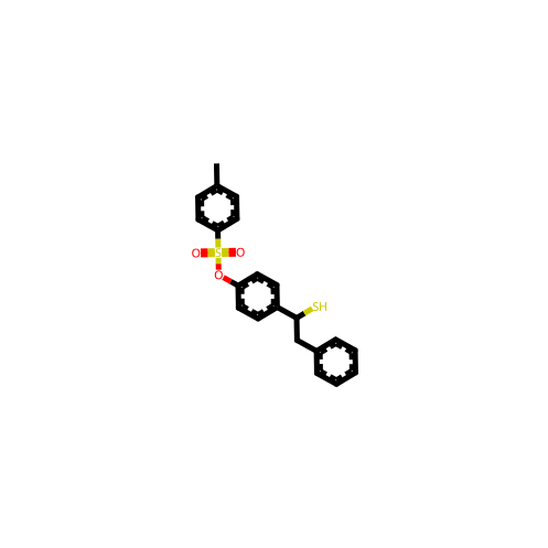 Cc1ccc(S(=O)(=O)Oc2ccc(C(S)Cc3ccccc3)cc2)cc1